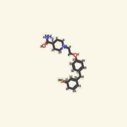 NC(=O)C1CCN(CCOc2ccc(CC3=CC(=S)CC=C3)cc2)CC1